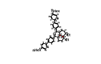 CCCCCCc1ccc(-c2ccc(C(OC(c3ccc(-c4ccc(CCCCCC)cn4)cc3)[C@H]3CC[C@H](CC)CC3)[C@H]3CC[C@H](CC)CC3)cc2)nc1